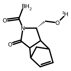 [3H]OC[C@@H]1C2C3C=CC(C3)C2C(=O)N1C(B)=O